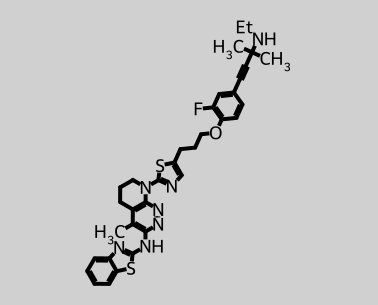 CCNC(C)(C)C#Cc1ccc(OCCCc2cnc(N3CCCc4c3nnc(Nc3nc5ccccc5s3)c4C)s2)c(F)c1